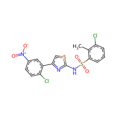 Cc1c(Cl)cccc1S(=O)(=O)Nc1nc(-c2cc([N+](=O)[O-])ccc2Cl)cs1